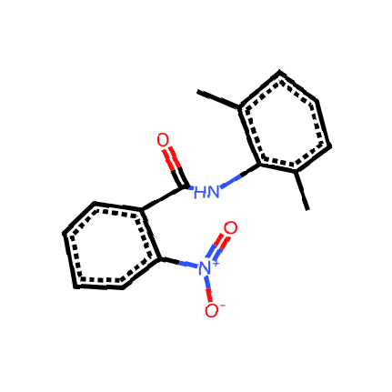 Cc1cccc(C)c1NC(=O)c1ccccc1[N+](=O)[O-]